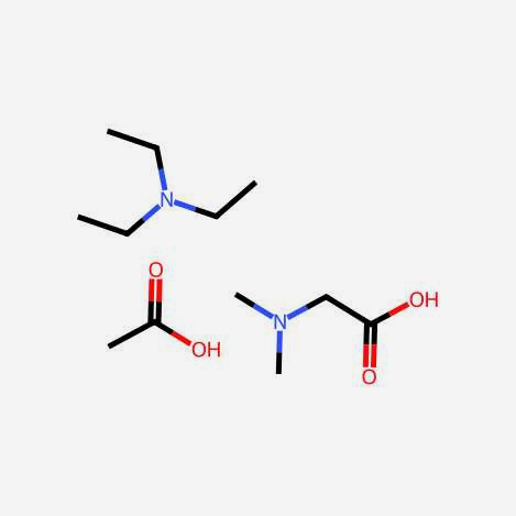 CC(=O)O.CCN(CC)CC.CN(C)CC(=O)O